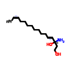 CCC/C=C\CCCCCCCC/C=C/[C@@](N)(O)CCO